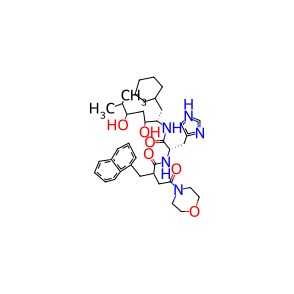 CC(C)C(O)CC(O)[C@H](CC1CCCCC1)NC(=O)[C@H](Cc1c[nH]cn1)NC(=O)C(CC(=O)N1CCOCC1)Cc1cccc2ccccc12